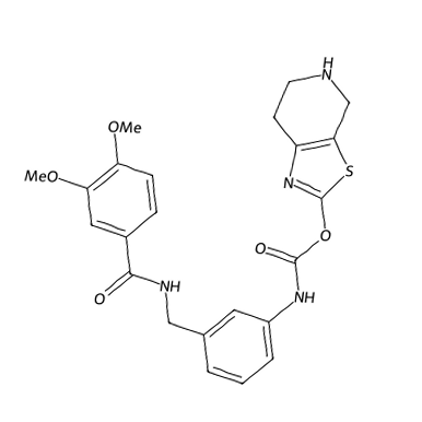 COc1ccc(C(=O)NCc2cccc(NC(=O)Oc3nc4c(s3)CNCC4)c2)cc1OC